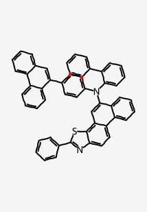 c1ccc(-c2nc3ccc4c5ccccc5c(N(c5ccc(-c6cc7ccccc7c7ccccc67)cc5)c5ccccc5-c5ccccc5)cc4c3s2)cc1